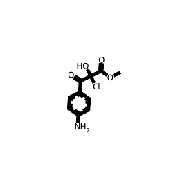 COC(=O)C(O)(Cl)C(=O)c1ccc(N)cc1